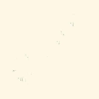 C=CC(=O)N1CCN(c2ccc(-c3ccc(N4CC([C@H](C)C(N)=O)OC4=O)cc3F)cn2)CC1